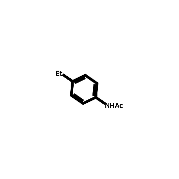 [CH2]C(=O)Nc1ccc(CC)cc1